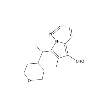 Cc1c(C=O)c2cccnn2c1C(C)C1CCOCC1